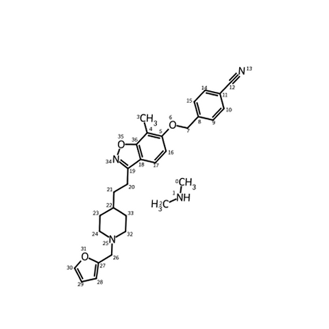 CNC.Cc1c(OCc2ccc(C#N)cc2)ccc2c(CCC3CCN(Cc4ccco4)CC3)noc12